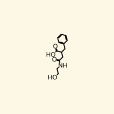 O=C(CC(Cc1ccccc1)C(=O)O)NCCO